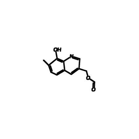 Cc1ccc2cc(COC=O)cnc2c1O